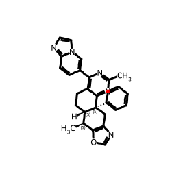 Cc1nc(-c2ccc3nccn3c2)c2c(n1)[C@@]1(c3ccccc3)Cc3ncoc3[C@@H](C)[C@@H]1CC2